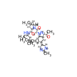 CC(=O)c1nn(CC(=O)N2[C@H](C(=O)N[C@H](C)CC(C)(C)C)C[C@@]3(C)C[C@@H]23)c2ccc(-c3cnc(C)nc3)cc12